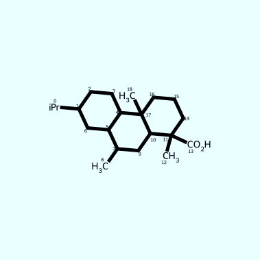 CC(C)C1CCC2C(C1)C(C)CC1C(C)(C(=O)O)CCCC21C